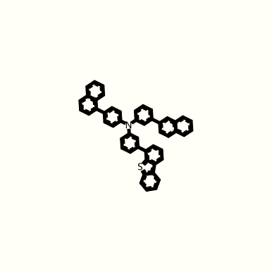 c1cc(-c2ccc3ccccc3c2)cc(N(c2ccc(-c3cccc4ccccc34)cc2)c2cccc(-c3cccc4c3sc3ccccc34)c2)c1